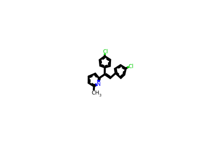 Cc1cccc(C(=Cc2ccc(Cl)cc2)c2ccc(Cl)cc2)n1